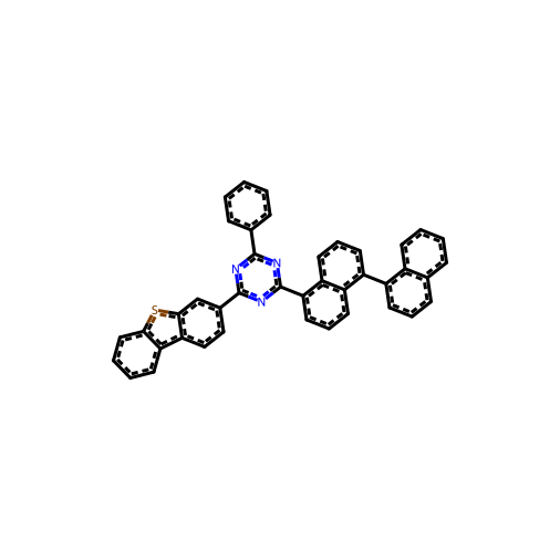 c1ccc(-c2nc(-c3ccc4c(c3)sc3ccccc34)nc(-c3cccc4c(-c5cccc6ccccc56)cccc34)n2)cc1